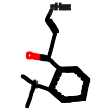 CCCCCCC=CC(=O)c1ccccc1[Si](C)C